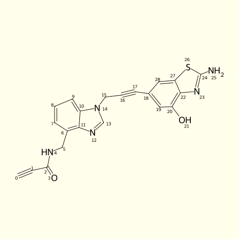 C#CC(=O)NCc1cccc2c1ncn2CC#Cc1cc(O)c2nc(N)sc2c1